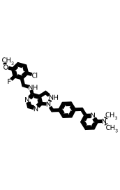 COc1ccc(Cl)c(CNc2ncnc3c2CNN3Cc2ccc(Cc3cccc(N(C)C)n3)cc2)c1F